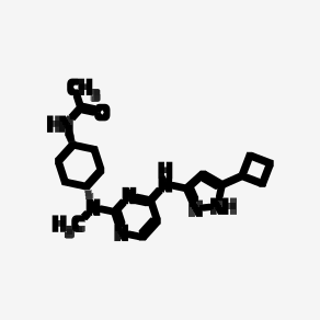 CC(=O)N[C@H]1CC[C@H](N(C)c2nccc(Nc3cc(C4CCC4)[nH]n3)n2)CC1